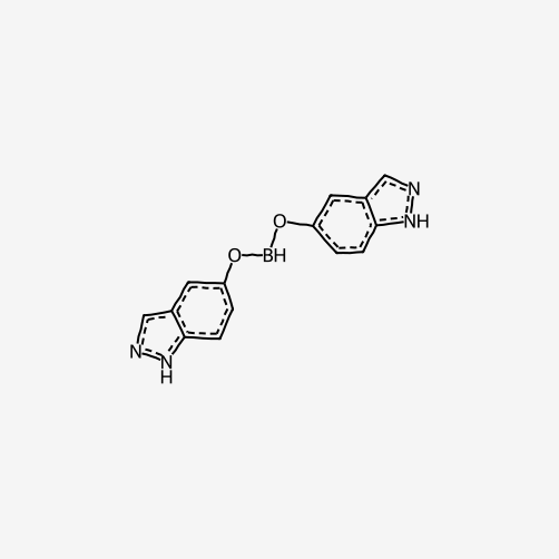 B(Oc1ccc2[nH]ncc2c1)Oc1ccc2[nH]ncc2c1